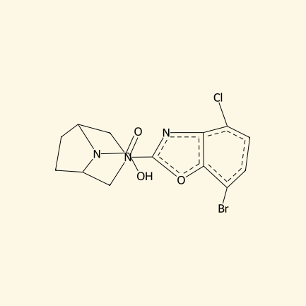 O=C(O)N1C2CCC1CN(c1nc3c(Cl)ccc(Br)c3o1)C2